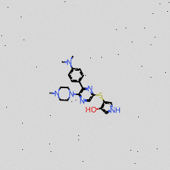 CN1CCN(c2ncc(Sc3c[nH]cc3O)nc2-c2ccc(N(C)C)cc2)CC1